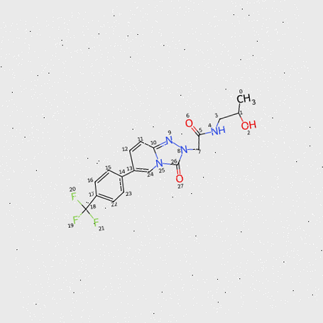 CC(O)CNC(=O)Cn1nc2ccc(-c3ccc(C(F)(F)F)cc3)cn2c1=O